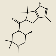 Cc1n[nH]c2c1CN(C(=O)N1CC(C)(C)N(C)C[C@@H]1C)C2(C)C